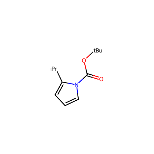 CC(C)c1cccn1C(=O)OC(C)(C)C